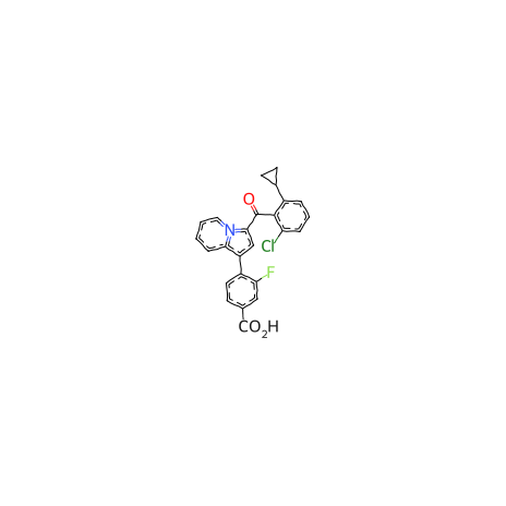 O=C(O)c1ccc(-c2cc(C(=O)c3c(Cl)cccc3C3CC3)n3ccccc23)c(F)c1